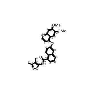 COc1cc2nccc(Oc3ccc4c(C(=O)Nc5onc(C)c5C)cccc4c3)c2cc1OC